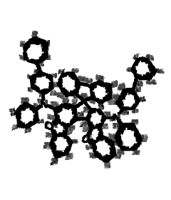 c1ccc(-c2ccc(N(c3ccccc3)c3cc4c(c5c3oc3ccccc35)-c3c(cc(N(c5ccccc5)c5ccc(-c6ccccc6)cc5)c5c3oc3ccccc35)C43c4ccccc4-c4ccccc43)cc2)cc1